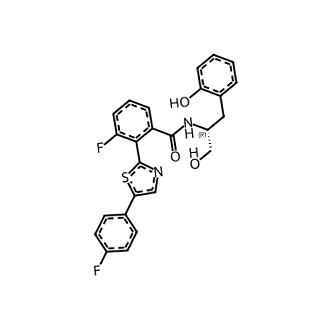 O=C(N[C@@H](CO)Cc1ccccc1O)c1cccc(F)c1-c1ncc(-c2ccc(F)cc2)s1